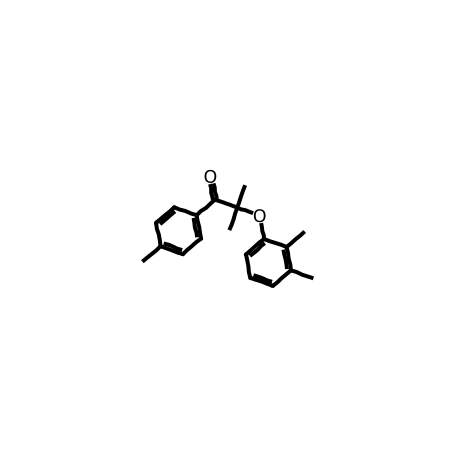 Cc1ccc(C(=O)C(C)(C)Oc2cccc(C)c2C)cc1